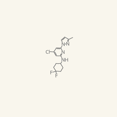 Cc1ccn(-c2cc(Cl)cc(NC3CCC(F)(F)CC3)n2)n1